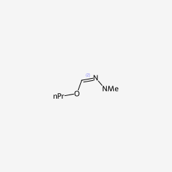 CCCO/C=N\NC